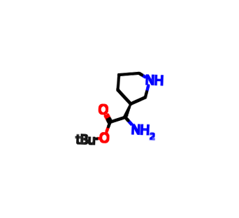 CC(C)(C)OC(=O)C(N)[C@H]1CCCNC1